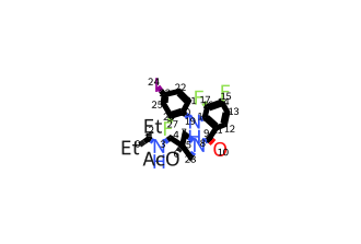 CCC(CC)NCC1(OC(C)=O)CN(C(=O)c2ccc(F)c(F)c2Nc2ccc(I)cc2F)C1